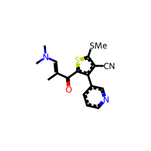 CSc1sc(C(=O)C(C)=CN(C)C)c(-c2cccnc2)c1C#N